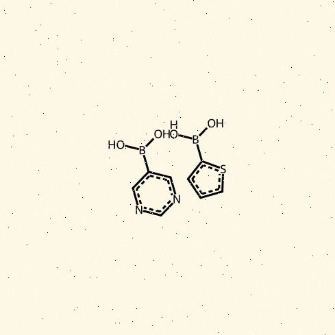 OB(O)c1cccs1.OB(O)c1cncnc1